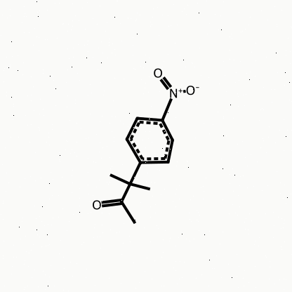 CC(=O)C(C)(C)c1ccc([N+](=O)[O-])cc1